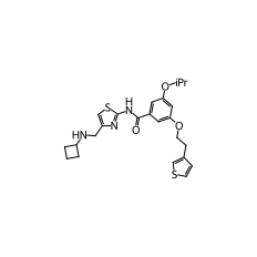 CC(C)Oc1cc(OCCc2ccsc2)cc(C(=O)Nc2nc(CNC3CCC3)cs2)c1